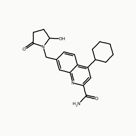 NC(=O)c1cc(C2CCCCC2)c2ccc(CN3C(=O)CCC3O)cc2n1